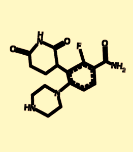 NC(=O)c1ccc(N2CCNCC2)c(C2CCC(=O)NC2=O)c1F